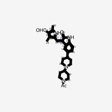 CC(=O)N1CCC(N2CCC(c3ccc4c(c3)/C(=C/c3[nH]c(C)c(C=O)c3C)C(=O)N4)CC2)CC1